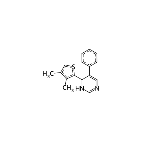 Cc1csc(C2NC=NC=C2c2ccccc2)c1C